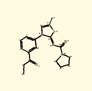 CCC(=O)c1cccc(-n2cc(C)s/c2=N\C(=O)N2CCCC2)c1